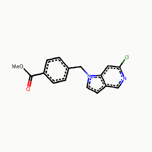 COC(=O)c1ccc(Cn2ccc3cnc(Cl)cc32)cc1